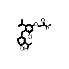 C=C(C)c1cc(OCC(=O)N(C)C)cc(Cl)c1Cc1ccc(O)c(C(C)C)c1